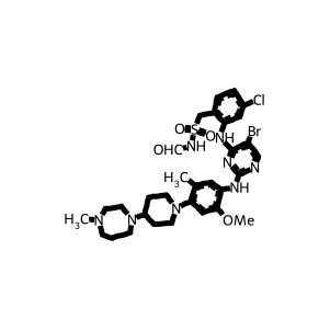 COc1cc(N2CCC(N3CCCN(C)CC3)CC2)c(C)cc1Nc1ncc(Br)c(Nc2cc(Cl)ccc2CS(=O)(=O)NC=O)n1